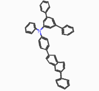 c1ccc(-c2cc(-c3ccccc3)cc(N(c3ccccc3)c3ccc(-c4ccc5cc(-c6ccccc6)ccc5c4)cc3)c2)cc1